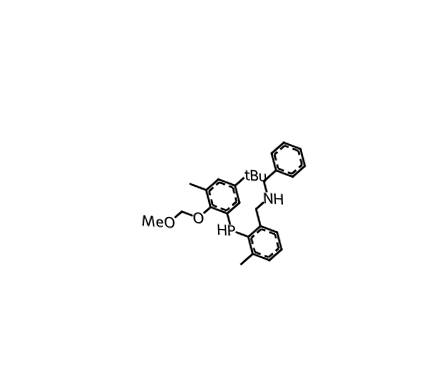 COCOc1c(C)cc(C(C)(C)C)cc1Pc1c(C)cccc1CNCc1ccccc1